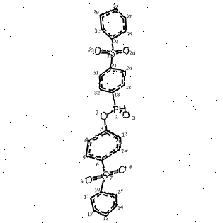 O=[PH](Oc1ccc(S(=O)(=O)c2ccccc2)cc1)c1ccc(S(=O)(=O)c2ccccc2)cc1